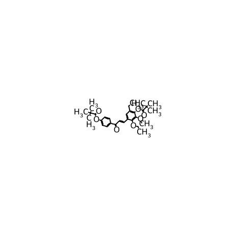 CCOc1c(C=CC(=O)c2ccc(OC(=O)C(C)(C)C)cc2)cc(CC)c(OC(=O)C(C)(C)C)c1OC